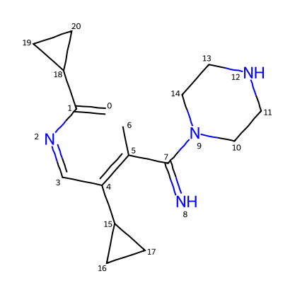 C=C(/N=C\C(=C(/C)C(=N)N1CCNCC1)C1CC1)C1CC1